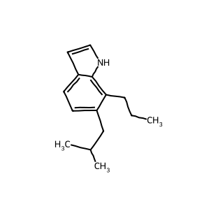 CCCc1c(CC(C)C)ccc2cc[nH]c12